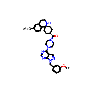 CCOc1cccc(Cn2ncc3c(N4CCN(C(=O)[C@H]5CC[C@]6(CC5)NCCc5cc(OC)ccc56)CC4)ncnc32)c1